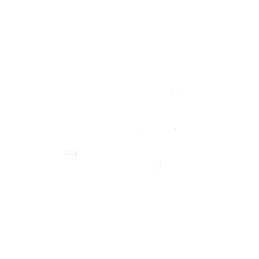 CC1(C(F)OC=C(F)C(F)(F)F)COC1